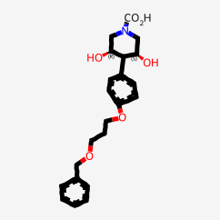 O=C(O)N1C[C@@H](O)C(c2ccc(OCCCOCc3ccccc3)cc2)[C@@H](O)C1